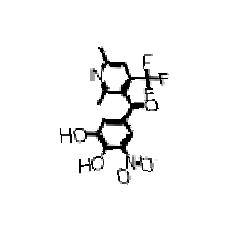 Cc1cc(C(F)(F)F)c(C(=O)c2cc(O)c(O)c([N+](=O)[O-])c2)c(C)n1